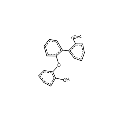 CCCCCCCCCCc1ccccc1-c1ccccc1Oc1ccccc1O